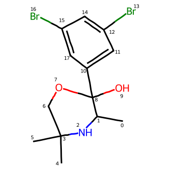 CC1NC(C)(C)COC1(O)c1cc(Br)cc(Br)c1